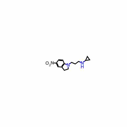 O=[N+]([O-])c1ccc2c(c1)CCN2CCCNC1CC1